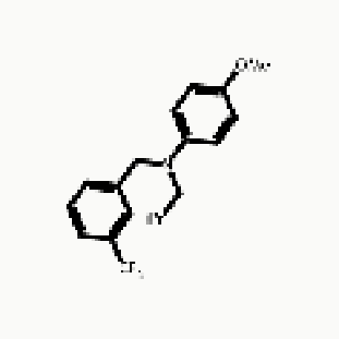 COc1ccc(N(Cc2cccc(C(F)(F)F)c2)CC(C)C)cc1